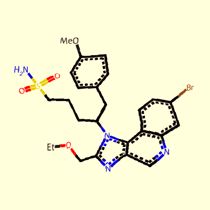 CCOCc1nc2cnc3cc(Br)ccc3c2n1C(CCCS(N)(=O)=O)Cc1ccc(OC)cc1